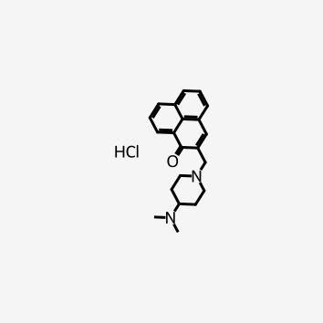 CN(C)C1CCN(CC2=Cc3cccc4cccc(c34)C2=O)CC1.Cl